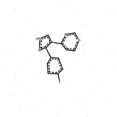 Fc1ccc(-c2n[nH]cc2-c2ccncn2)cc1